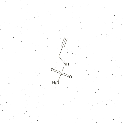 C#CCNS(N)(=O)=O